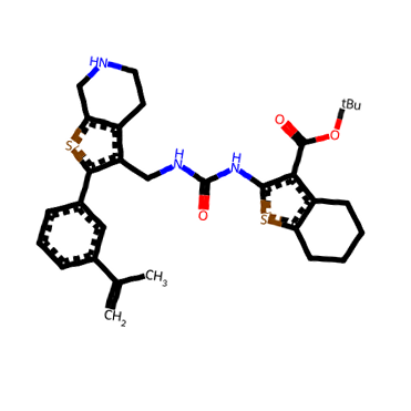 C=C(C)c1cccc(-c2sc3c(c2CNC(=O)Nc2sc4c(c2C(=O)OC(C)(C)C)CCCC4)CCNC3)c1